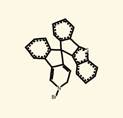 BrN1C=C2C(=CC1)C1(c3ccccc32)c2ccccc2-c2sc3ccccc3c21